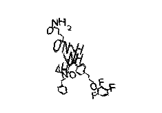 NC(=O)CCCC(=O)N1C[C@H]2CC(c3ccc(CCCOc4c(F)ccc(F)c4F)cc3)=C(C(=O)N(CCc3ccccc3)C3CC3)[C@@H](C1)N2